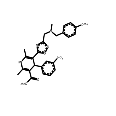 COC(=O)C1=C(C)NC(C)=C(c2nc(CN(C)Cc3ccc(OC)cc3)no2)C1c1cccc([N+](=O)[O-])c1